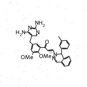 COc1cc(Cc2cnc(N)nc2N)cc(C(=O)/C=C/N2N=Cc3ccccc3C2c2cccc(C)c2)c1OC